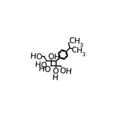 CCC(C)c1ccc(C2[C@@](O)([C@H](O)CO)[C@H](O)[C@@]2(O)CO)cc1